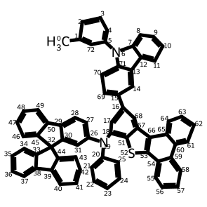 Cc1cccc(-n2c3ccccc3c3cc(-c4cc(N(c5ccccc5)c5ccc6c(c5)C5(c7ccccc7-c7ccccc75)c5ccccc5-6)c5sc6c7ccccc7c7ccccc7c6c5c4)ccc32)c1